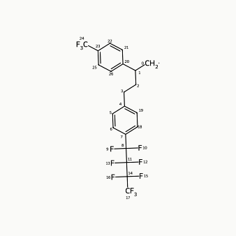 [CH2]C(CCc1ccc(C(F)(F)C(F)(F)C(F)(F)C(F)(F)F)cc1)c1ccc(C(F)(F)F)cc1